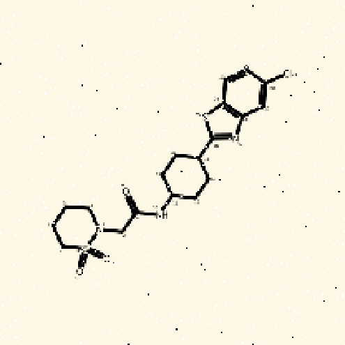 O=C(CN1CCCCS1(=O)=O)NC1CCC(c2nc3cc(Cl)ccc3s2)CC1